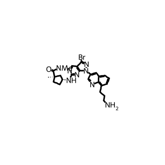 CNC(=O)[C@]1(C)CC[C@@H](Nc2ncc3c(Br)nn(-c4cnc5c(CCCN)cccc5c4)c3n2)C1